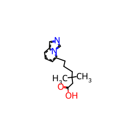 CC(C)(CCCc1cccc2cncn12)CC(=O)O